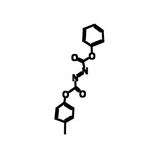 Cc1ccc(OC(=O)/N=N/C(=O)Oc2ccccc2)cc1